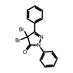 O=C1N(c2ccccc2)N=C(c2ccccc2)C1(Br)Br